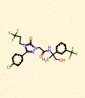 CC(CO)(NC(=O)Cn1nc(-c2ccc(Cl)cc2)n(CCC(F)(F)F)c1=O)c1cccc(C(F)(F)F)c1